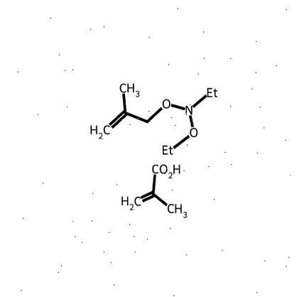 C=C(C)C(=O)O.C=C(C)CON(CC)OCC